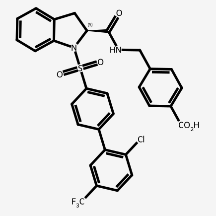 O=C(O)c1ccc(CNC(=O)[C@@H]2Cc3ccccc3N2S(=O)(=O)c2ccc(-c3cc(C(F)(F)F)ccc3Cl)cc2)cc1